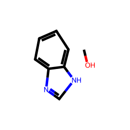 CO.c1ccc2[nH]cnc2c1